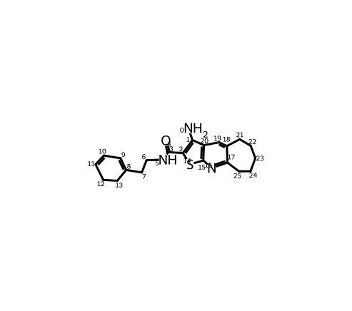 Nc1c(C(=O)NCCC2=CC=CCC2)sc2nc3c(cc12)CCCCC3